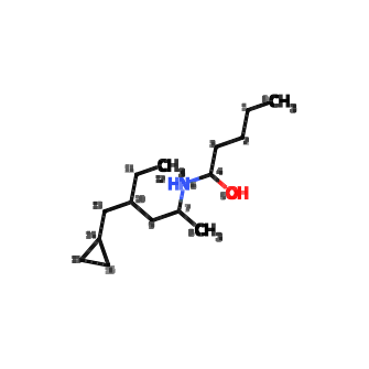 CCCCC(O)NC(C)CC(CC)CC1CC1